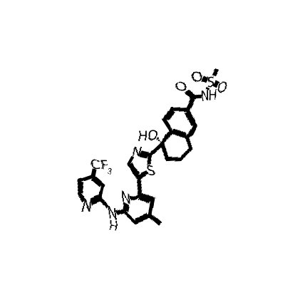 Cc1cc(Nc2cc(C(F)(F)F)ccn2)nc(-c2cnc([C@]3(O)CCCc4cc(C(=O)NS(C)(=O)=O)ccc43)s2)c1